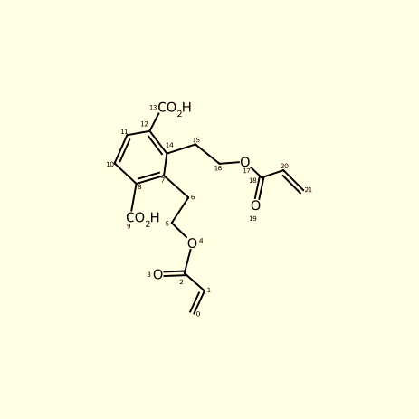 C=CC(=O)OCCc1c(C(=O)O)ccc(C(=O)O)c1CCOC(=O)C=C